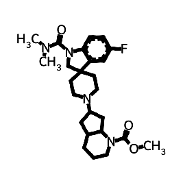 COC(=O)N1CCCC2CC(N3CCC4(CC3)CN(C(=O)N(C)C)c3ccc(F)cc34)CC21